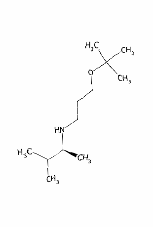 CC(C)[C@H](C)NCCCOC(C)(C)C